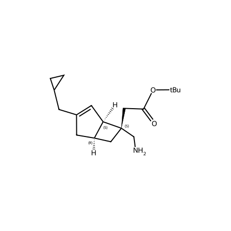 CC(C)(C)OC(=O)C[C@@]1(CN)C[C@H]2CC(CC3CC3)=C[C@H]21